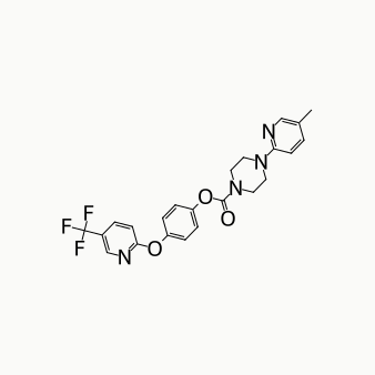 Cc1ccc(N2CCN(C(=O)Oc3ccc(Oc4ccc(C(F)(F)F)cn4)cc3)CC2)nc1